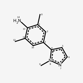 Cc1cc(-c2ccnn2C)cc(C)c1N